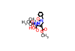 CCOC(=O)C1C(CN(Cc2ccccc2)C(N)=O)C1[C@H](NC(=O)OC(C)(C)C)C(=O)O